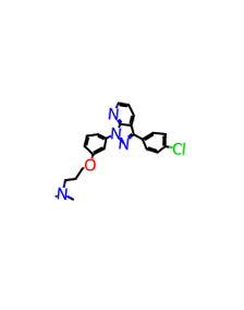 CN(C)CCCOc1cccc(-n2nc(-c3ccc(Cl)cc3)c3cccnc32)c1